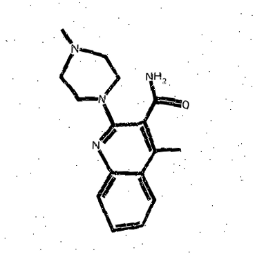 Cc1c(C(N)=O)c(N2CCN(C)CC2)nc2cc[c]cc12